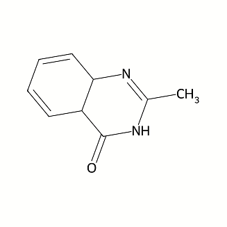 CC1=NC2C=CC=CC2C(=O)N1